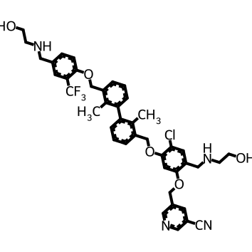 Cc1c(COc2cc(OCc3cncc(C#N)c3)c(CNCCO)cc2Cl)cccc1-c1cccc(COc2ccc(CNCCO)cc2C(F)(F)F)c1C